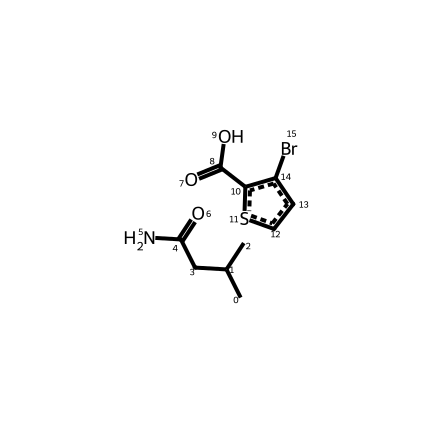 CC(C)CC(N)=O.O=C(O)c1sccc1Br